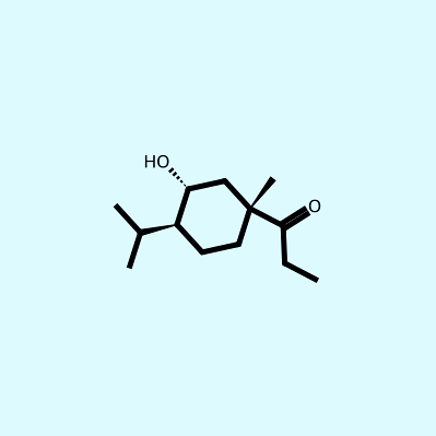 CCC(=O)[C@]1(C)CC[C@@H](C(C)C)[C@H](O)C1